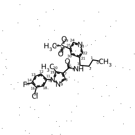 CCCC(NC(=O)c1cnn(-c2ccc(F)c(Cl)c2)c1C)c1cncc(S(C)(=O)=O)c1